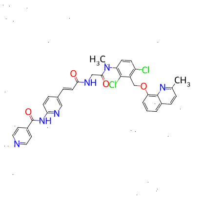 Cc1ccc2cccc(OCc3c(Cl)ccc(N(C)C(=O)CNC(=O)C=Cc4ccc(NC(=O)c5ccncc5)nc4)c3Cl)c2n1